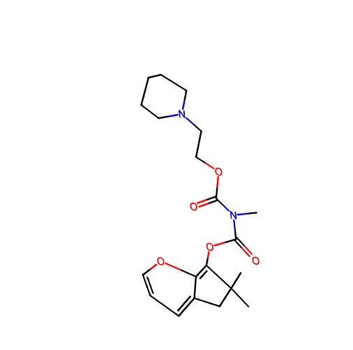 CN(C(=O)OCCN1CCCCC1)C(=O)OC1=C2OC=CC=C2CC1(C)C